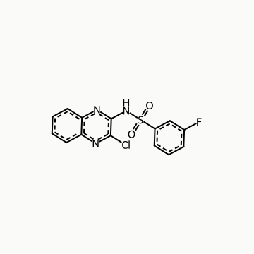 O=S(=O)(Nc1nc2ccccc2nc1Cl)c1cccc(F)c1